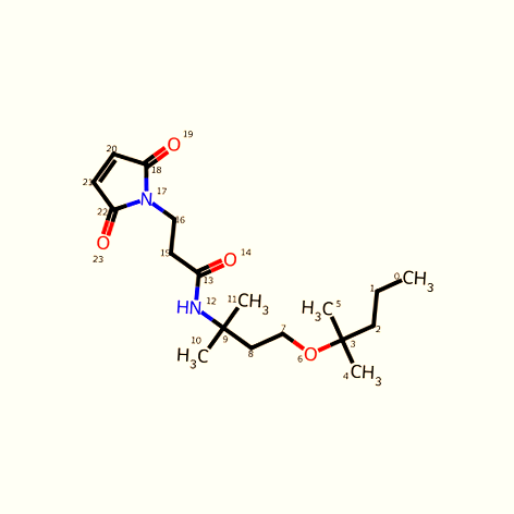 CCCC(C)(C)OCCC(C)(C)NC(=O)CCN1C(=O)C=CC1=O